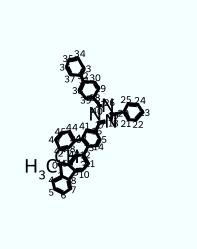 CC1(C)c2ccccc2-c2ccc(-c3ccc(-c4nc(-c5ccccc5)nc(-c5ccc(-c6ccccc6)cc5)n4)cc3-c3ccccc3)cc21